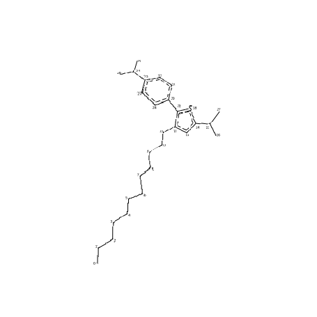 CCCCCCCCCCCCc1cc(C(C)C)sc1-c1ccc(C(C)C)cc1